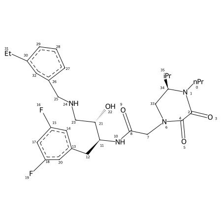 CCCN1C(=O)C(=O)N(CC(=O)N[C@@H](Cc2cc(F)cc(F)c2)[C@@H](O)CNCc2cccc(CC)c2)C[C@H]1C(C)C